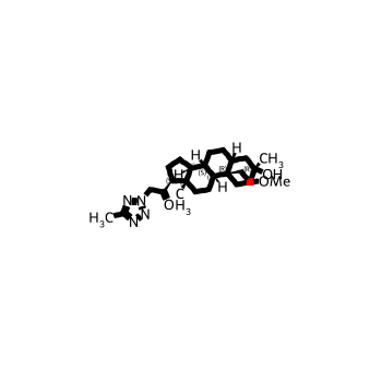 COCC[C@]12CC[C@@](C)(O)C[C@H]1CC[C@H]1[C@@H]3CC[C@H](C(=O)Cn4nnc(C)n4)[C@@]3(C)CC[C@@H]12